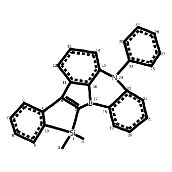 C[Si]1(C)C2=C(c3ccccc31)c1cccc3c1B2c1ccccc1N3c1ccccc1